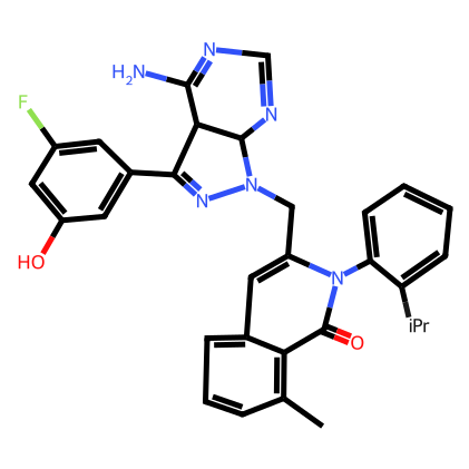 Cc1cccc2cc(CN3N=C(c4cc(O)cc(F)c4)C4C(N)=NC=NC43)n(-c3ccccc3C(C)C)c(=O)c12